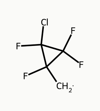 [CH2]C1(F)C(F)(F)C1(F)Cl